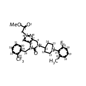 COC(=O)Cn1cc2c(n1)CN(C1CCN(c3c(C)cccc3F)CC1)C(=O)N2Cc1ccccc1C(F)(F)F